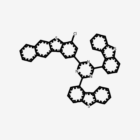 Clc1cc(-c2nc(-c3cccc4sc5ccccc5c34)nc(-c3cccc4sc5ccccc5c34)n2)cc2c1sc1cc3ccccc3cc12